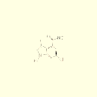 Cc1cn(C(C)C)c2cc(Cl)cc(C(=O)N=O)c12